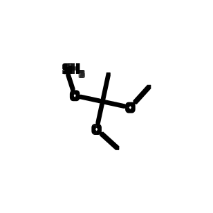 COC(C)(OC)O[SiH3]